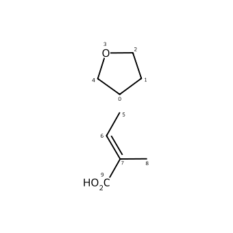 C1CCOC1.CC=C(C)C(=O)O